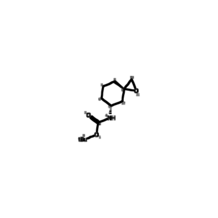 CC(C)(C)OC(=O)N[C@@H]1CCC[C@]2(CO2)C1